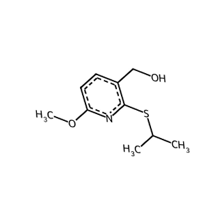 COc1ccc(CO)c(SC(C)C)n1